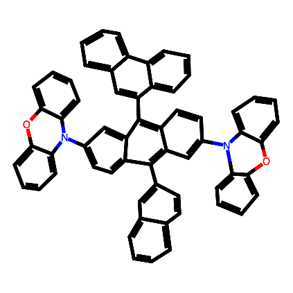 c1ccc2c(c1)Oc1ccccc1N2c1ccc2c(-c3cc4ccccc4c4ccccc34)c3cc(N4c5ccccc5Oc5ccccc54)ccc3c(-c3ccc4ccccc4c3)c2c1